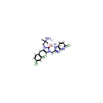 CC(C)(N)Cn1c(Cc2ccc(Cl)cc2Cl)cn(Cc2nc3nc(Cl)ccc3[nH]2)c1=O